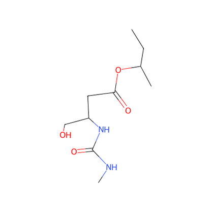 CCC(C)OC(=O)CC(CO)NC(=O)NC